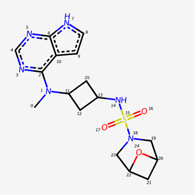 CN(c1ncnc2[nH]ccc12)C1CC(NS(=O)(=O)N2CC3CC(C2)O3)C1